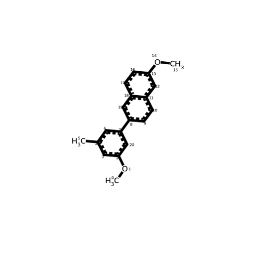 COc1cc(C)cc(-c2ccc3cc(OC)ccc3c2)c1